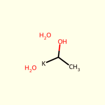 C[CH](O)[K].O.O